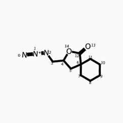 [N-]=[N+]=NCC1CC2(CCCCC2)C(=O)O1